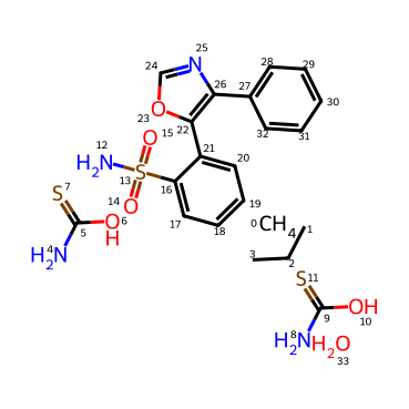 C.CCC.NC(O)=S.NC(O)=S.NS(=O)(=O)c1ccccc1-c1ocnc1-c1ccccc1.O